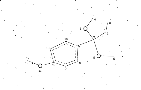 CCC(OC)(OC)c1ccc(OC)cc1